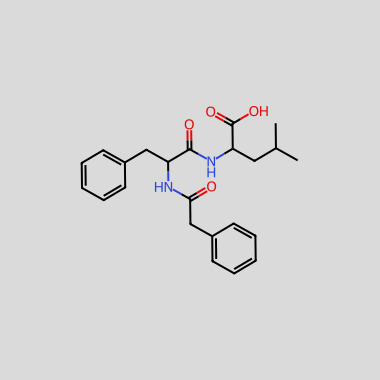 CC(C)CC(NC(=O)C(Cc1ccccc1)NC(=O)Cc1ccccc1)C(=O)O